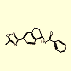 Cc1nc(-c2ccc3c(c2)CCC3NC(=O)c2ccccc2)no1